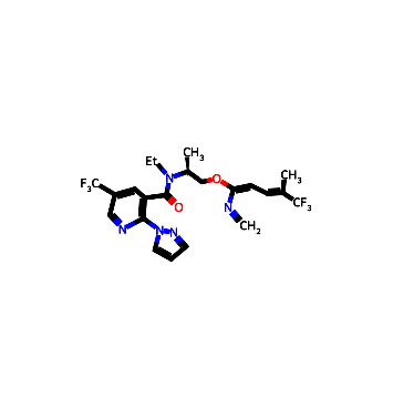 C=N/C(=C\C=C(/C)C(F)(F)F)OC[C@H](C)N(CC)C(=O)c1cc(C(F)(F)F)cnc1-n1cccn1